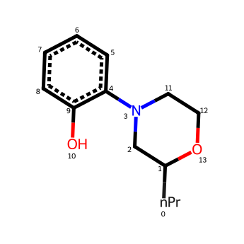 CCCC1CN(c2ccccc2O)CCO1